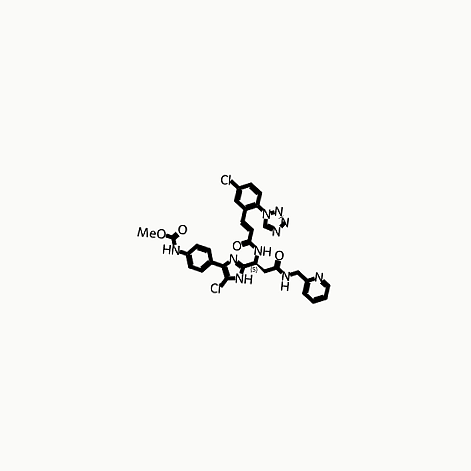 COC(=O)Nc1ccc(-c2nc([C@H](CC(=O)NCc3ccccn3)NC(=O)C=Cc3cc(Cl)ccc3-n3cnnn3)[nH]c2Cl)cc1